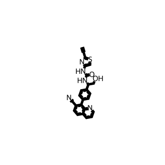 C#Cc1nc(NC(=O)NC(CO)c2ccc(-c3c(C#N)ccc4cccnc34)cc2)cs1